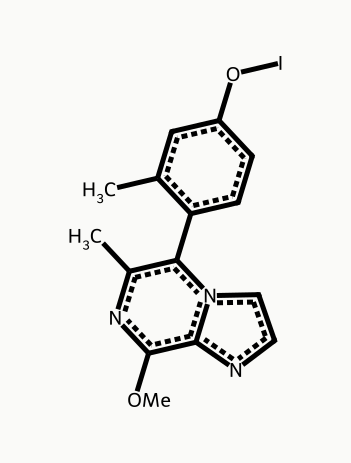 COc1nc(C)c(-c2ccc(OI)cc2C)n2ccnc12